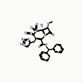 CO[C@H]1C(=O)N2C(C(=O)OC(c3ccccc3)c3ccccc3)=C(Cc3c[nH]nn3)C(=C=O)S(=O)(=O)[C@@H]12